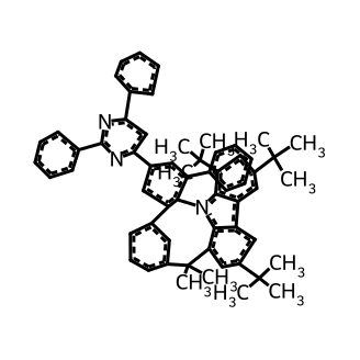 CC(C)(C)c1cc(C(C)(C)C)c2c(c1)c1cc(C(C)(C)C)cc3c1n2-c1c(-c2ccccc2)cc(-c2cc(-c4ccccc4)nc(-c4ccccc4)n2)cc1-c1cccc(c1)C3(C)C